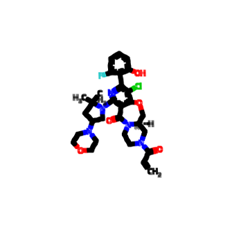 C=CC(=O)N1CCN2C(=O)c3c(N4CC(N5CCOCC5)CC4(C)C)nc(-c4c(O)cccc4F)c(Cl)c3OC[C@H]2C1